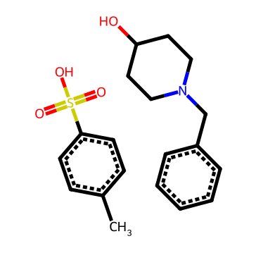 Cc1ccc(S(=O)(=O)O)cc1.OC1CCN(Cc2ccccc2)CC1